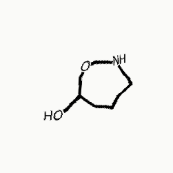 OC1CCNO1